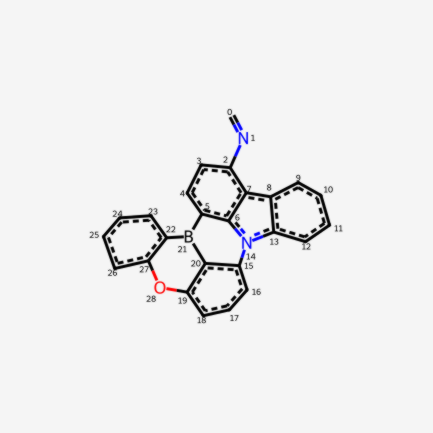 C=Nc1ccc2c3c1c1ccccc1n3-c1cccc3c1B2c1ccccc1O3